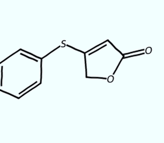 O=C1C=C(Sc2ccccc2)CO1